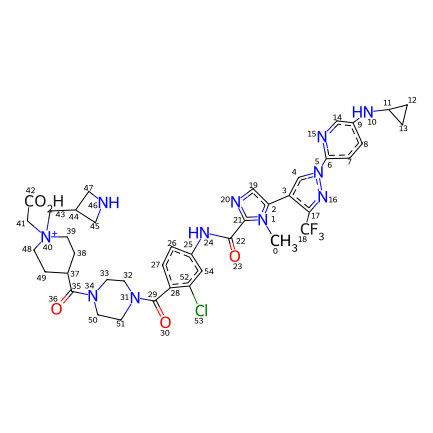 Cn1c(-c2cn(-c3ccc(NC4CC4)cn3)nc2C(F)(F)F)cnc1C(=O)Nc1ccc(C(=O)N2CCN(C(=O)C3CC[N+](CC(=O)O)(CC4CNC4)CC3)CC2)c(Cl)c1